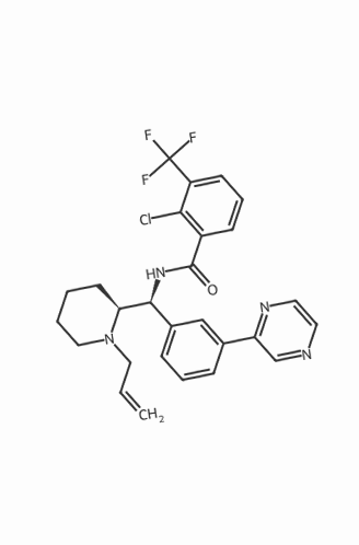 C=CCN1CCCC[C@H]1[C@@H](NC(=O)c1cccc(C(F)(F)F)c1Cl)c1cccc(-c2cnccn2)c1